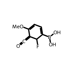 COC1=CC=C(B(O)O)C(F)C1=C=O